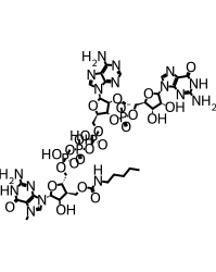 CCCCCNC(=O)OC[C@H]1[C@@H](O)[C@H](n2c[n+](C)c3c(=O)[nH]c(N)nc32)O[C@@H]1COP(=O)(O)OP(=O)(O)OP(=O)(O)OC[C@H]1O[C@@H](n2cnc3c(N)ncnc32)[C@H](OC)[C@@H]1OP(=O)([O-])OC[C@H]1O[C@@H](n2cnc3c(=O)[nH]c(N)nc32)[C@H](O)[C@@H]1O